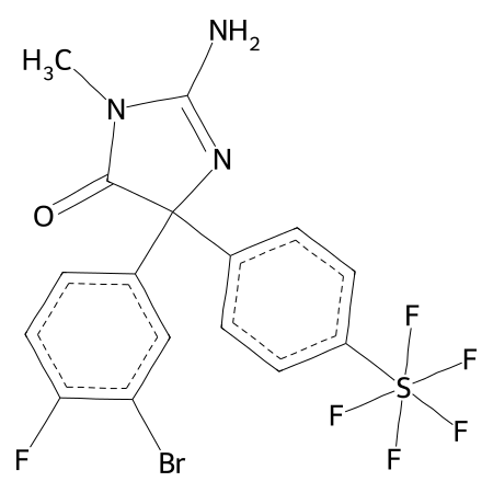 CN1C(=O)C(c2ccc(S(F)(F)(F)(F)F)cc2)(c2ccc(F)c(Br)c2)N=C1N